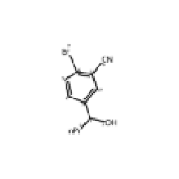 CCCC(O)c1ccc(Br)c(C#N)c1